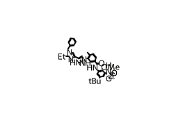 CCc1nc(C2=CN(c3cc(C(=O)Nc4cc(C(C)(C)C)cc(NS(C)(=O)=O)c4OC)ccc3C)NN2)cn1Cc1ccccc1